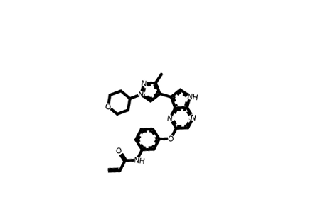 C=CC(=O)Nc1cccc(Oc2cnc3[nH]cc(-c4cn(C5CCOCC5)nc4C)c3n2)c1